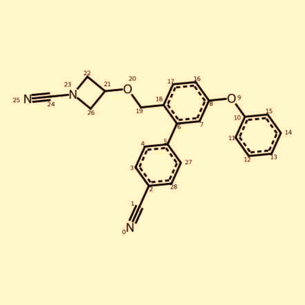 N#Cc1ccc(-c2cc(Oc3ccccc3)ccc2COC2CN(C#N)C2)cc1